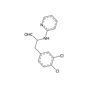 O=CC(Cc1ccc(Cl)c(Cl)c1)Nc1ccccn1